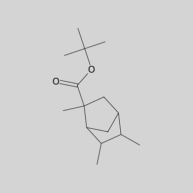 CC1C2CC(C1C)C(C)(C(=O)OC(C)(C)C)C2